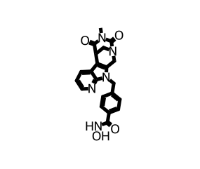 CN1C(=O)C2CN(Cc3c2c2cccnc2n3Cc2ccc(C(=O)NO)cc2)C1=O